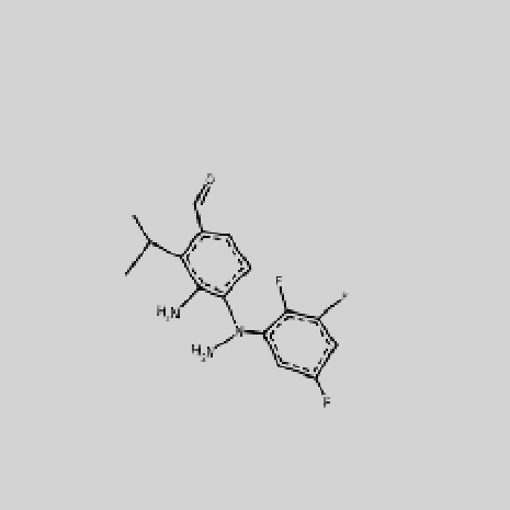 CC(C)c1c(C=O)ccc(N(N)c2cc(F)cc(F)c2F)c1N